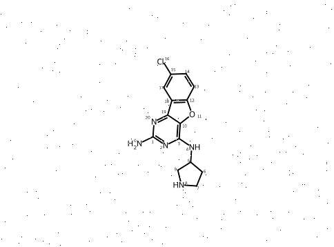 Nc1nc(NC2CCNC2)c2oc3ccc(Cl)cc3c2n1